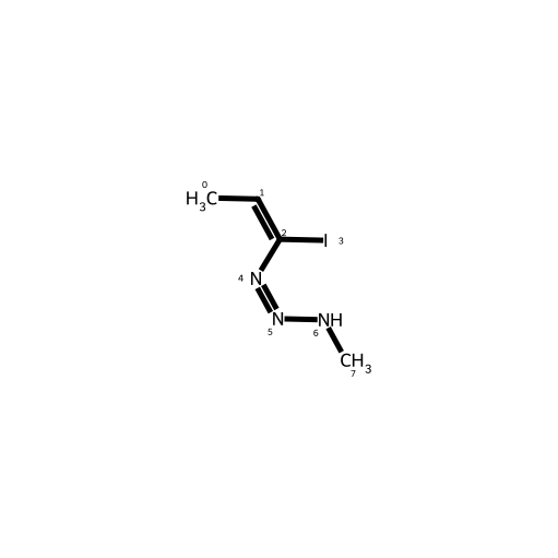 C/C=C(I)\N=N/NC